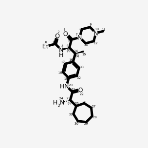 CCC(=O)N[C@@H](C(=O)N1CCN(C)CC1)[C@@H](C)c1ccc(NC(=O)[C@@H](N)C2CCCCCC2)cc1